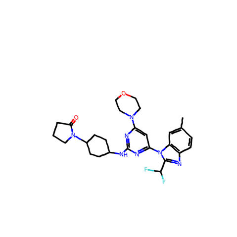 Cc1ccc2nc(C(F)F)n(-c3cc(N4CCOCC4)nc(NC4CCC(N5CCCC5=O)CC4)n3)c2c1